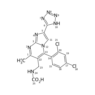 Cc1nc2nc(-c3nnn[nH]3)cn2c(-c2ccc(Cl)cc2Cl)c1CNC(=O)O